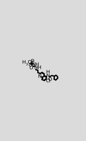 CS(=O)(=O)NC(=O)NCCCc1ccc2c(NC(=O)CC3CCCCC3)c(Cl)ccc2n1